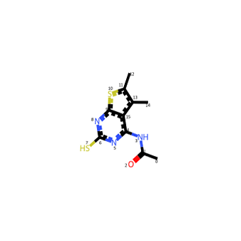 CC(=O)Nc1nc(S)nc2sc(C)c(C)c12